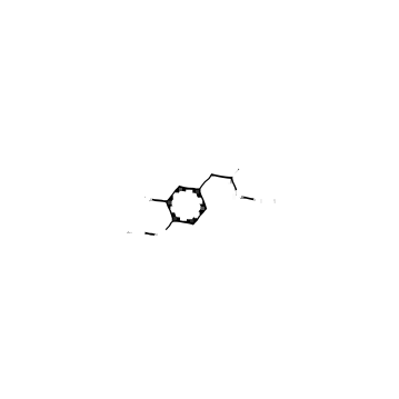 CCCCCN[C@@H](Cc1ccc(OCCCCC)c([N+](=O)[O-])c1)C(=O)O